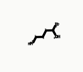 C[CH]C(O)CCCCCC